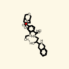 CCOc1cc(C(=O)N2C3COCC2CC(O)C3)ccc1C(=O)NCC(O)C1Cc2ccccc2CN1.Cl